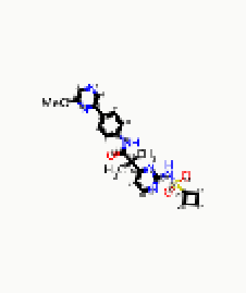 COc1cncc(-c2ccc(NC(=O)C(C)(C)c3ccnc(NS(=O)(=O)C4CCC4)n3)cc2)n1